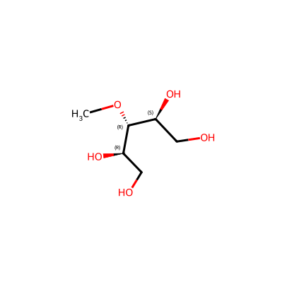 CO[C@@H]([C@H](O)CO)[C@@H](O)CO